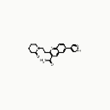 NC(=O)c1cc2cc(-c3cn[nH]c3)ccc2nc1CCN1CCCCC1=O